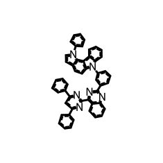 c1ccc(-c2cc(-c3ccccc3)nc(-c3nc(-c4cccc(-n5c6ccccc6c6c7c(ccc65)ccn7-c5ccccc5)c4)nc4ccccc34)n2)cc1